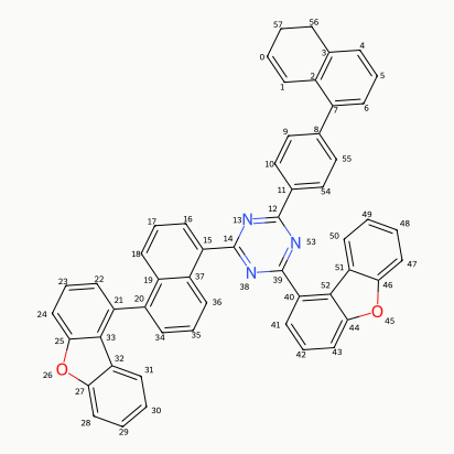 C1=Cc2c(cccc2-c2ccc(-c3nc(-c4cccc5c(-c6cccc7oc8ccccc8c67)cccc45)nc(-c4cccc5oc6ccccc6c45)n3)cc2)CC1